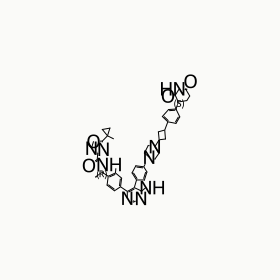 Cc1cc(-c2ncnc3[nH]c4cc(N5CCN(C6CC(c7ccc([C@@H]8CCC(=O)NC8=O)cc7)C6)CC5)ccc4c23)ccc1[C@@H](C)NC(=O)c1noc(C2(C)CC2)n1